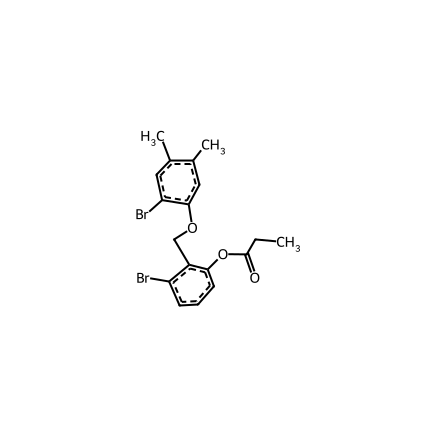 CCC(=O)Oc1cccc(Br)c1COc1cc(C)c(C)cc1Br